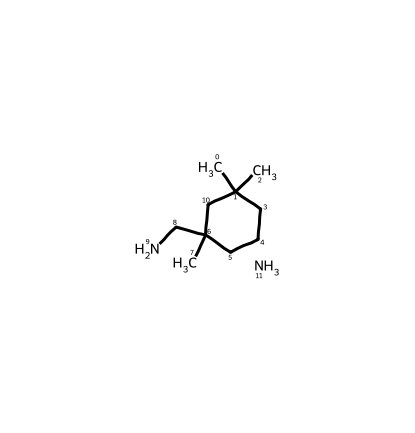 CC1(C)CCCC(C)(CN)C1.N